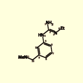 CCN=C(N)Nc1cccc(CNC)c1